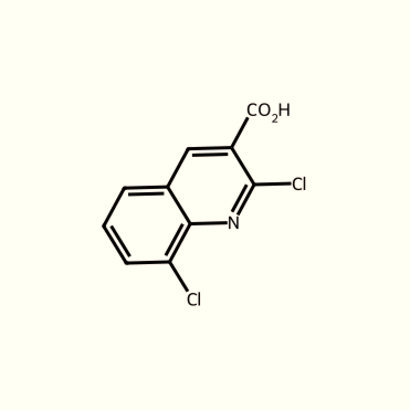 O=C(O)c1cc2cccc(Cl)c2nc1Cl